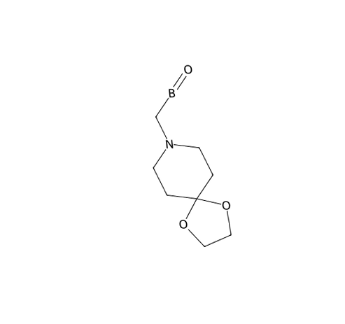 O=BCN1CCC2(CC1)OCCO2